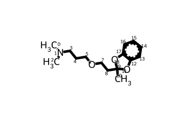 CN(C)CCCOCCC1(C)Oc2ccccc2O1